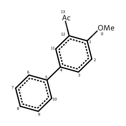 COc1ccc(-c2ccccc2)cc1C(C)=O